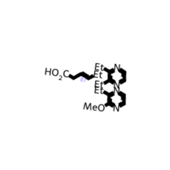 CC/C=C/CC(=O)O.CCc1nccnc1CC.CCc1nccnc1OC